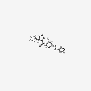 C[C@@]1(N2CCCC2)CCCN1C(=O)c1ccc(OCc2cscn2)cc1F